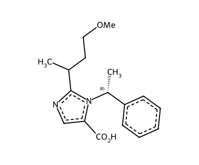 COCCC(C)c1ncc(C(=O)O)n1[C@H](C)c1ccccc1